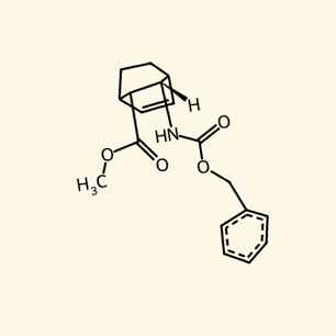 COC(=O)C1C2C=CC(CC2)[C@@H]1NC(=O)OCc1ccccc1